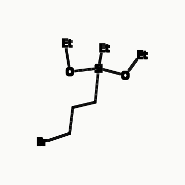 CCO[Si](CC)(CCCBr)OCC